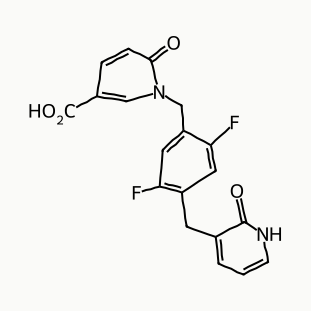 O=C(O)c1ccc(=O)n(Cc2cc(F)c(Cc3ccc[nH]c3=O)cc2F)c1